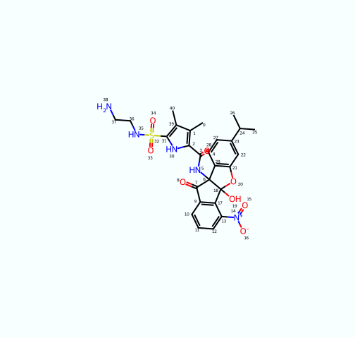 Cc1c(C(=O)NC23C(=O)c4cccc([N+](=O)[O-])c4C2(O)Oc2cc(C(C)C)ccc23)[nH]c(S(=O)(=O)NCCN)c1C